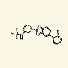 Fc1ccccc1-c1ccc2nc(-c3cccc(NC(F)(F)F)c3)oc2c1